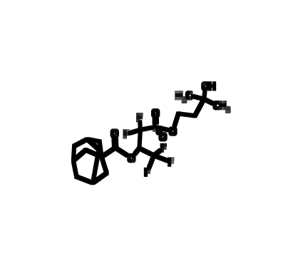 CC(C)(O)CCOS(=O)(=O)C(F)(F)C(OC(=O)C12CC3CC(CC(C3)C1)C2)C(F)(F)F